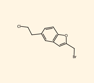 ClCCc1ccc2oc(CBr)cc2c1